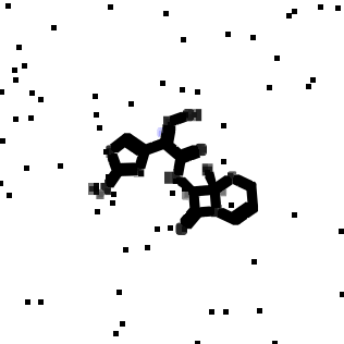 Nc1nc(/C(=N/O)C(=O)N[C@@H]2C(=O)N3C=CCS[C@@H]23)cs1